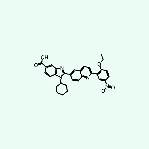 CCOc1ccc([N+](=O)[O-])cc1-c1ccc2cc(-c3nc4cc(C(=O)O)ccc4n3C3CCCCC3)ccc2n1